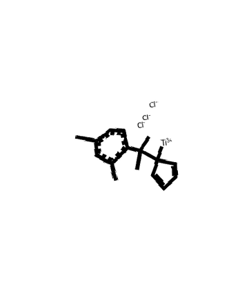 Cc1ccc(C(C)(C)[C]2([Ti+3])C=CC=C2)c(C)c1.[Cl-].[Cl-].[Cl-]